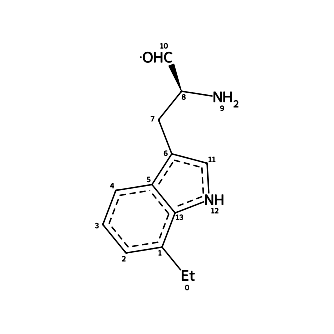 CCc1cccc2c(C[C@H](N)[C]=O)c[nH]c12